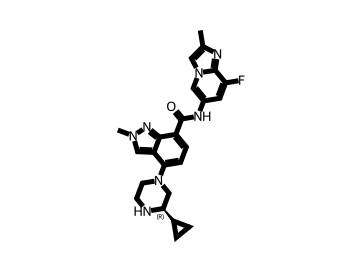 Cc1cn2cc(NC(=O)c3ccc(N4CCN[C@H](C5CC5)C4)c4cn(C)nc34)cc(F)c2n1